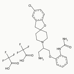 NCC(COc1ccccc1NC(N)=O)N1CCC2(CC1)Cc1cc(Cl)ccc1O2.O=C(O)C(F)(F)F.O=C(O)C(F)(F)F